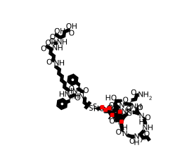 CC[C@H](C)[C@@H]1NC(=O)CNC(=O)C2Cc3c([nH]c4cc(OCCCSSC(C)(C)CCNC(=O)[C@H](Cc5ccccc5)NC(=O)[C@H](Cc5ccccc5)NC(=O)CCCCCCCNC(=O)CCC(NC(=O)NC(CCC(=O)O)C(=O)O)C(=O)O)ccc34)[S+]([O-])CC(NC(=O)CNC1=O)C(=O)N[C@@H](CCC(N)=O)C(=O)N1C[C@H](O)CC1(C=O)N[C@@H]([C@@H](C)[C@@H](O)CO)C(=O)N2